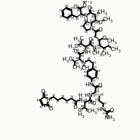 CC[C@H](C)[C@@H]([C@@H](CC(=O)N1CCC[C@H]1[C@H](OC)[C@@H](C)C(=O)N[C@@H](Cc1ccccc1)C(=O)OC)OC)N(C)C(=O)[C@@H](NC(=O)[C@H](C(C)C)N(C)CCc1ccc(NC(=O)[C@H](CCCNC(N)=O)NC(=O)[C@@H](NC(=O)CCCCCN2C(=O)C=CC2=O)C(C)C)cc1)C(C)C